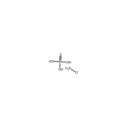 OP(O)(O)=S.PCl